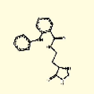 O=C(NCCC1NCNC1=O)c1ccccc1Nc1ccccc1